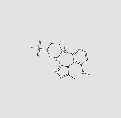 COc1cccc(OC)c1-n1c(C)nnc1[C@@H]1CN(S(C)(=O)=O)CCO1